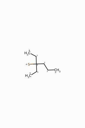 CCCC([S])(CC)CC